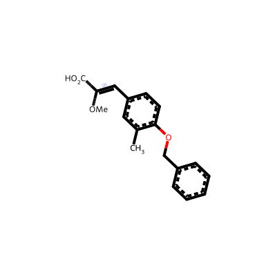 CO/C(=C\c1ccc(OCc2ccccc2)c(C)c1)C(=O)O